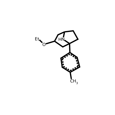 CCOC1CC2CCC(c3ccc(C)cc3)(C1)N2